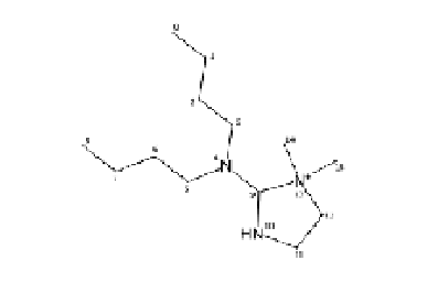 CCCCN(CCCC)C1NCC[N+]1(C)C